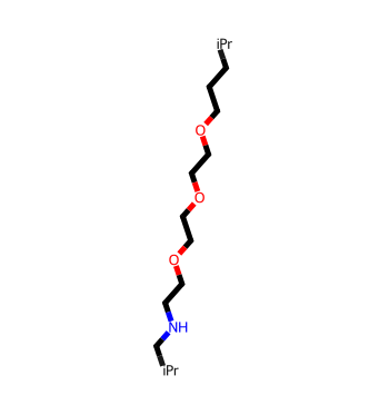 CC(C)CCCOCCOCCOCCNCC(C)C